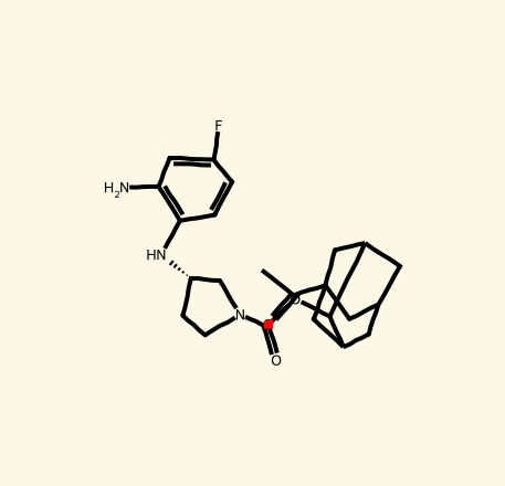 CC(=O)C12CC3CC(C1)C(OC(=O)N1CC[C@H](Nc4ccc(F)cc4N)C1)C(C3)C2